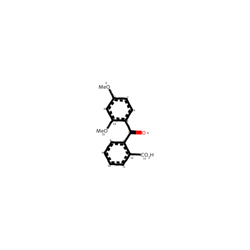 COc1ccc(C(=O)c2ccccc2C(=O)O)c(OC)c1